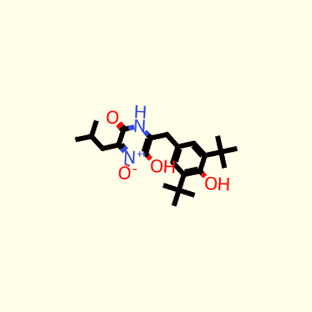 CC(C)Cc1c(=O)[nH]c(Cc2cc(C(C)(C)C)c(O)c(C(C)(C)C)c2)c(O)[n+]1[O-]